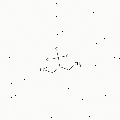 CC[C](CC)C(Cl)(Cl)Cl